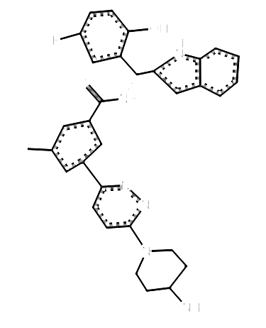 Cc1cc(C(=O)N[C@@H](c2cc3ccccc3[nH]2)c2cc(F)ccc2O)cc(-c2ccc(N3CCC(N)CC3)nn2)c1